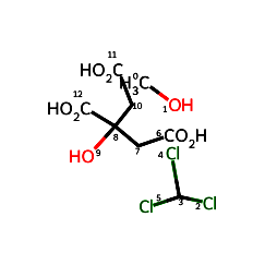 CO.ClC(Cl)Cl.O=C(O)CC(O)(CC(=O)O)C(=O)O